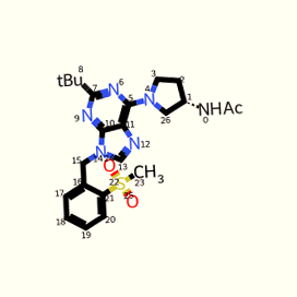 CC(=O)N[C@H]1CCN(c2nc(C(C)(C)C)nc3c2ncn3Cc2ccccc2S(C)(=O)=O)C1